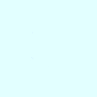 C=CN.CC(C)c1ccsc1C(C)C